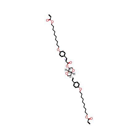 C=CC(=O)OCCCCCCCCCCOc1ccc(C=C[C@@H]2CO[C@H]3[C@@H]2OC[C@@H]3OC(=O)/C=C/c2ccc(OCCCCCCCCCCOC(=O)C=C)cc2)cc1